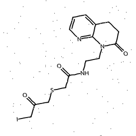 O=C(CI)CSCC(=O)NCCN1C(=O)CCc2cccnc21